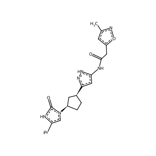 Cc1cc(CC(=O)Nc2cc([C@H]3CC[C@@H](n4cc(C(C)C)[nH]c4=O)C3)n[nH]2)on1